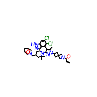 C=CC(=O)N1CC2(CC(n3nc(N4CCC(CN5CC6CC(C5)O6)CC4(C)C)c(-c4c(Cl)c(Cl)cc5[nH]ncc45)c3C)C2)C1